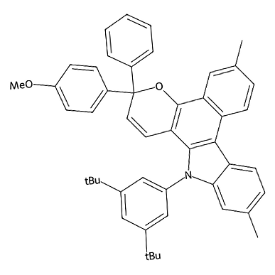 COc1ccc(C2(c3ccccc3)C=Cc3c(c4cc(C)ccc4c4c5ccc(C)cc5n(-c5cc(C(C)(C)C)cc(C(C)(C)C)c5)c34)O2)cc1